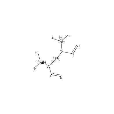 C=C[CH]([Pt][CH](C=C)[SiH](C)C)[SiH](C)C